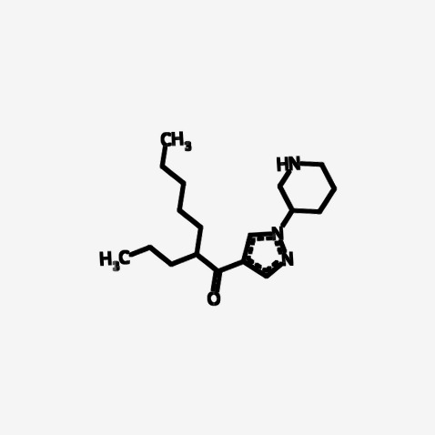 CCCCCC(CCC)C(=O)c1cnn(C2CCCNC2)c1